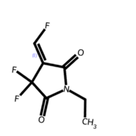 CCN1C(=O)/C(=C\F)C(F)(F)C1=O